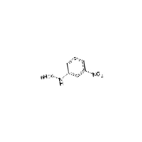 CCCCCCNc1cccc([N+](=O)[O-])c1